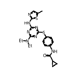 CCN(CC)c1nc(Nc2ncc(C)s2)nc(Sc2ccc(NC(=O)C3CC3)cc2)n1